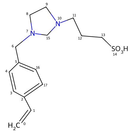 C=Cc1ccc(CN2CCN(CCCS(=O)(=O)O)C2)cc1